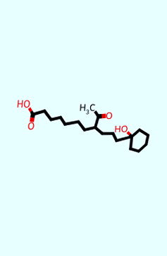 CC(=O)C(CCCCCCC(=O)O)CCCC1(O)CCCCC1